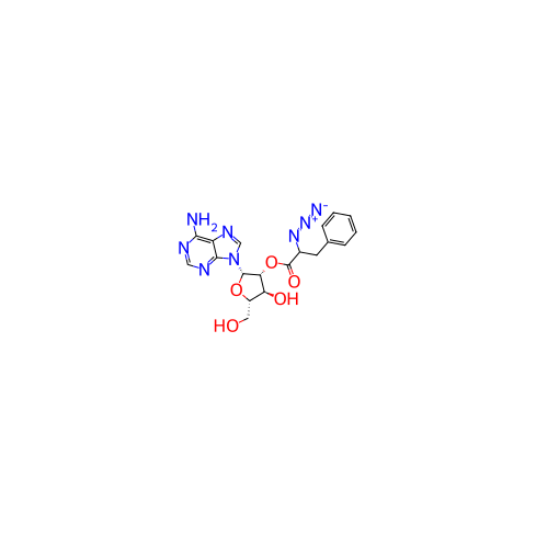 [N-]=[N+]=NC(Cc1ccccc1)C(=O)O[C@@H]1[C@@H](O)[C@H](CO)O[C@@H]1n1cnc2c(N)ncnc21